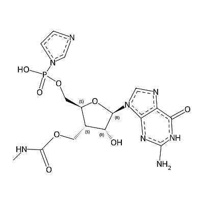 CNC(=O)OC[C@H]1[C@@H](O)[C@H](n2cnc3c(=O)[nH]c(N)nc32)O[C@@H]1COP(=O)(O)n1ccnc1